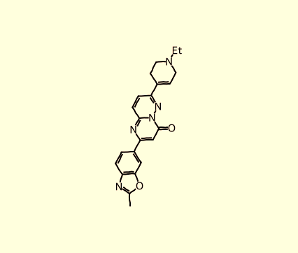 CCN1CC=C(c2ccc3nc(-c4ccc5nc(C)oc5c4)cc(=O)n3n2)CC1